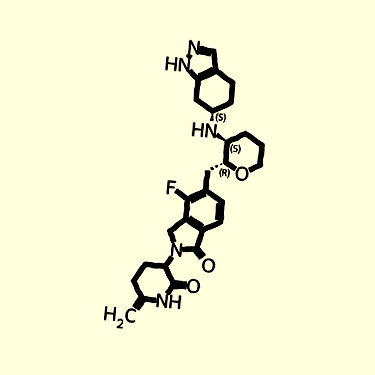 C=C1CCC(N2Cc3c(ccc(C[C@H]4OCCC[C@@H]4N[C@H]4CCc5cn[nH]c5C4)c3F)C2=O)C(=O)N1